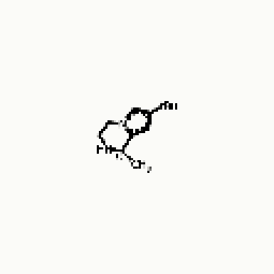 C[C@H]1NCCn2cc(C(C)(C)C)cc21